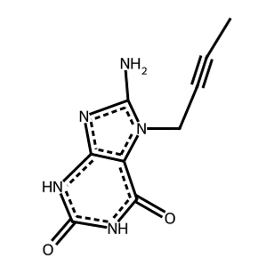 CC#CCn1c(N)nc2[nH]c(=O)[nH]c(=O)c21